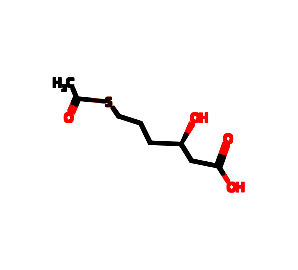 CC(=O)SCCC[C@@H](O)CC(=O)O